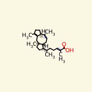 CC1=C2C[C@]3(C)CC[C@H]([C@@H](C)CC/C=C(\C)C(=O)O)[C@H]3C/C=C(/C)[C@@H]2CC1